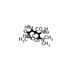 CCCCC(C(=O)N(C)C)C(C(=O)O)(C(=O)O)C(CCCC)C(=O)N(C)C